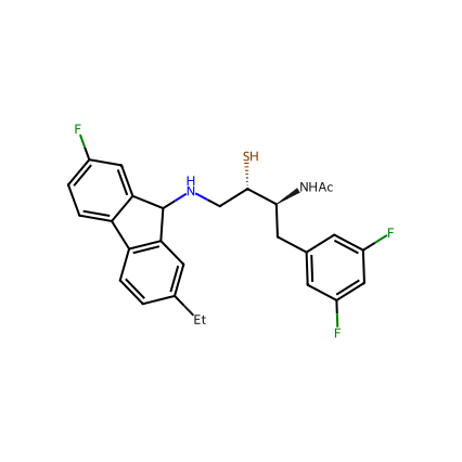 CCc1ccc2c(c1)C(NC[C@H](S)[C@H](Cc1cc(F)cc(F)c1)NC(C)=O)c1cc(F)ccc1-2